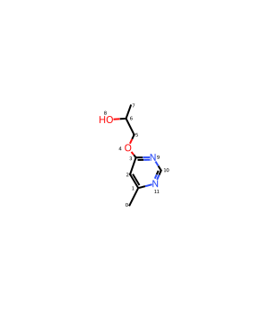 Cc1cc(OCC(C)O)ncn1